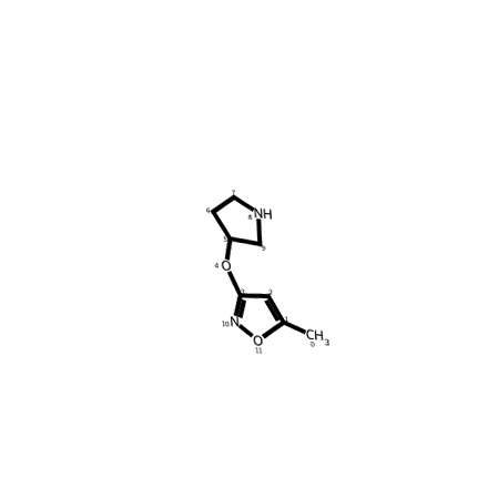 Cc1cc(OC2CCNC2)no1